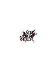 CC(C)c1cc(N(c2ccccc2-c2ccc([Si](c3ccccc3)(c3ccccc3)c3ccccc3)cc2)c2cccc3c2oc2ccccc23)c2ccc3c(C(C)C)cc(N(c4ccccc4-c4ccc(S(c5ccccc5)(c5ccccc5)c5ccccc5)cc4)c4cccc5c4oc4ccccc45)c4ccc1c2c34